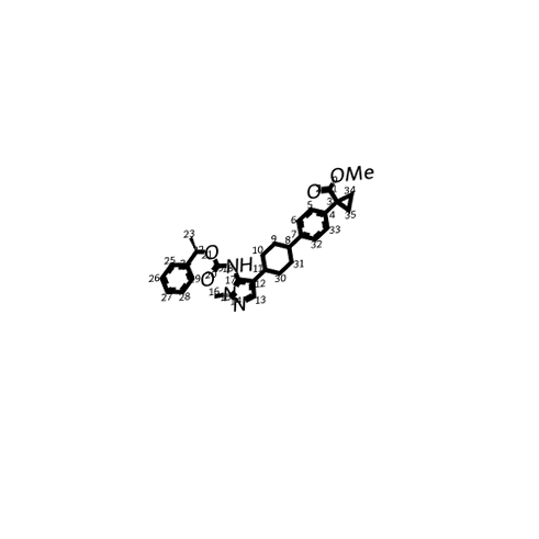 COC(=O)C1(c2ccc(C3CCC(c4cnn(C)c4NC(=O)O[C@H](C)c4ccccc4)CC3)cc2)CC1